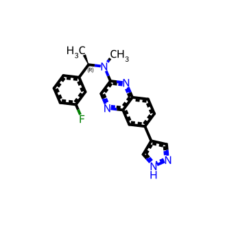 C[C@H](c1cccc(F)c1)N(C)c1cnc2cc(-c3cn[nH]c3)ccc2n1